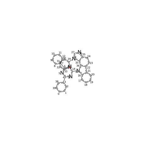 c1ccc(-c2nc(-c3ccccc3)nc(-n3c4ccccc4c4ccc5ncn(-c6ccccc6)c5c43)n2)cc1